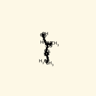 COC(=O)c1nc(NCCCCS(=O)(=O)O)sc1CCCOc1ccc(C#CCN(C)C)cc1F